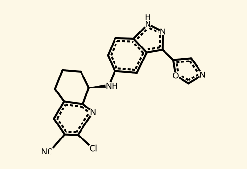 N#Cc1cc2c(nc1Cl)[C@H](Nc1ccc3[nH]nc(-c4cnco4)c3c1)CCC2